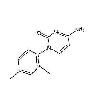 Cc1ccc(-n2ccc(N)nc2=O)c(C)c1